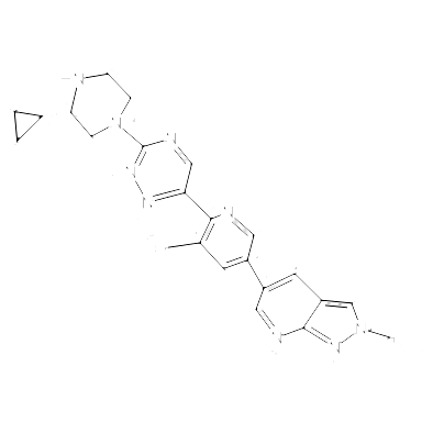 Cn1cc2cc(-c3cnc(-c4cnc(N5CCN[C@@H](C6CC6)C5)nn4)c(O)c3)cnc2n1